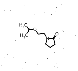 CC(C)OCCN1CCCC1=O